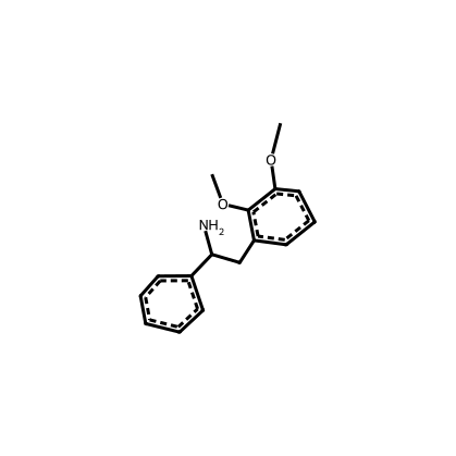 COc1cccc(CC(N)c2ccccc2)c1OC